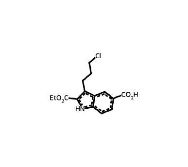 CCOC(=O)c1[nH]c2ccc(C(=O)O)cc2c1CCCCl